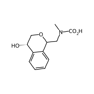 CN(CC1OC[C@@H](O)c2ccccc21)C(=O)O